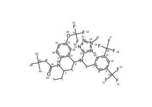 CCC1CC(N(Cc2cc(C(F)(F)F)cc(C(F)(F)F)c2)c2nnn(C)n2)c2cc(OC(F)(F)F)ccc2N1C(=O)CC(C)(C)C